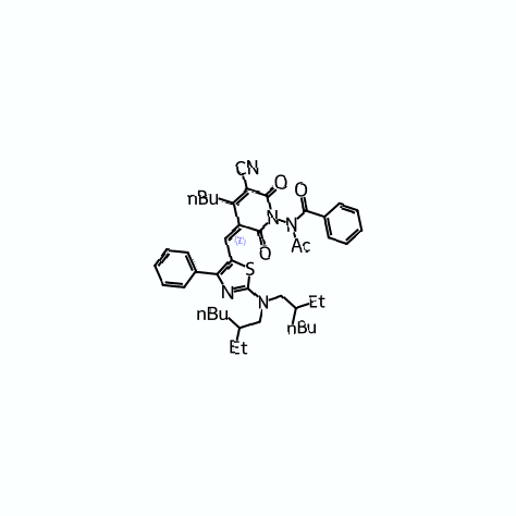 CCCCC1=C(C#N)C(=O)N(N(C(C)=O)C(=O)c2ccccc2)C(=O)/C1=C\c1sc(N(CC(CC)CCCC)CC(CC)CCCC)nc1-c1ccccc1